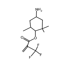 C=C(C(=O)OC1C(C)CC(N)CC1(C)C)C(F)(F)F